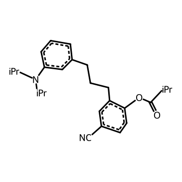 CC(C)C(=O)Oc1ccc(C#N)cc1CCCc1cccc(N(C(C)C)C(C)C)c1